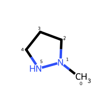 CN1[CH]CCN1